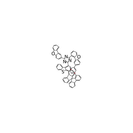 c1cc(-c2ccc3oc4cccc(-c5nc(-c6ccc7oc8ccccc8c7c6)nc(-c6cccc7sc8ccccc8c67)n5)c4c3c2)cc(-c2cccc3c2C2(c4ccccc4-c4ccccc42)c2ccccc2-3)c1